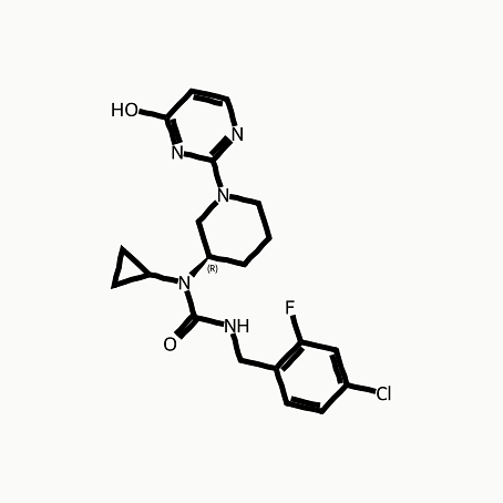 O=C(NCc1ccc(Cl)cc1F)N(C1CC1)[C@@H]1CCCN(c2nccc(O)n2)C1